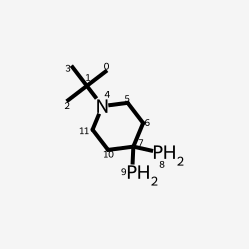 CC(C)(C)N1CCC(P)(P)CC1